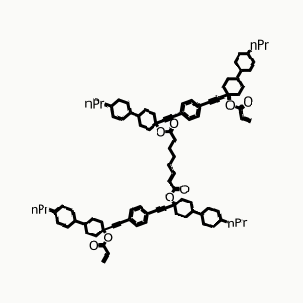 C=CC(=O)OC1(C#Cc2ccc(C#CC3(OC(=O)CCCCCCC(=O)OC4(C#Cc5ccc(C#CC6(OC(=O)C=C)CCC(C7CCC(CCC)CC7)CC6)cc5)CCC(C5CCC(CCC)CC5)CC4)CCC(C4CCC(CCC)CC4)CC3)cc2)CCC(C2CCC(CCC)CC2)CC1